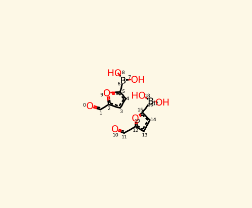 O=Cc1ccc(B(O)O)o1.O=Cc1ccc(B(O)O)o1